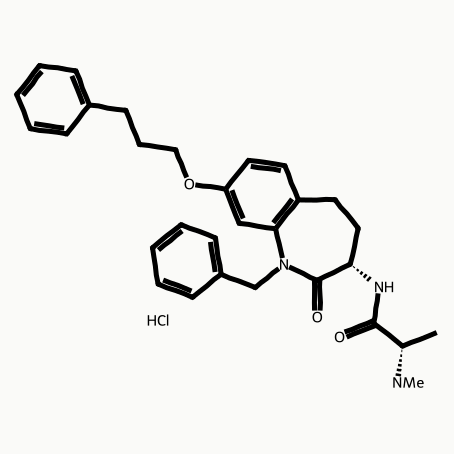 CN[C@@H](C)C(=O)N[C@H]1CCc2ccc(OCCCc3ccccc3)cc2N(Cc2ccccc2)C1=O.Cl